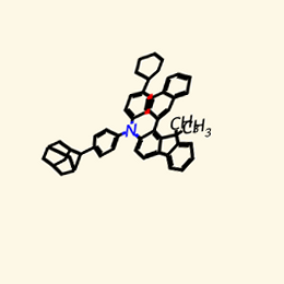 CC1(C)c2ccccc2-c2ccc(N(c3ccc(C4CCCCC4)cc3)c3ccc(C4C5CC6CC(C5)CC4C6)cc3)c(-c3ccc4ccccc4c3)c21